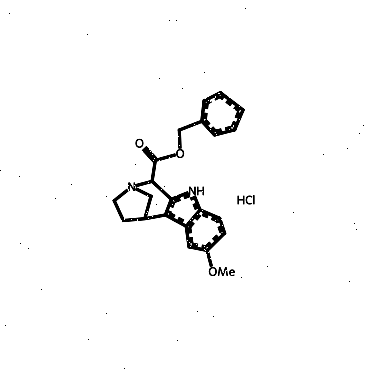 COc1ccc2[nH]c3c(c2c1)C1CCN(C1)C3C(=O)OCc1ccccc1.Cl